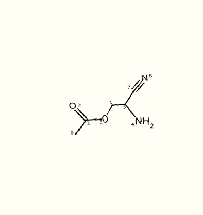 CC(=O)OCC(N)C#N